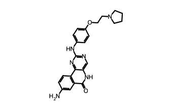 Nc1ccc2c(c1)c(=O)[nH]c1cnc(Nc3ccc(OCCN4CCCC4)cc3)nc12